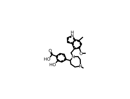 COc1cc(C)c2[nH]ccc2c1CN1CCN(C)CCC1c1ccc(C(=O)O)c(O)c1